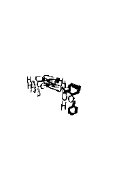 CC(C)(C)[Si](C)(C)OC[C@H](O)c1ccccc1OCc1ccccc1